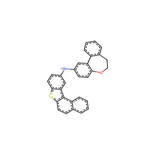 c1ccc2c(c1)CCOc1ccc(Nc3ccc4sc5ccc6ccccc6c5c4c3)cc1-2